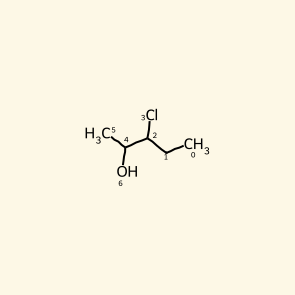 CCC(Cl)C(C)O